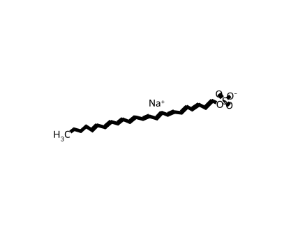 CCCCC=CC=CC=CC=CC=CC=CC=CC=CC=CC=COS(=O)(=O)[O-].[Na+]